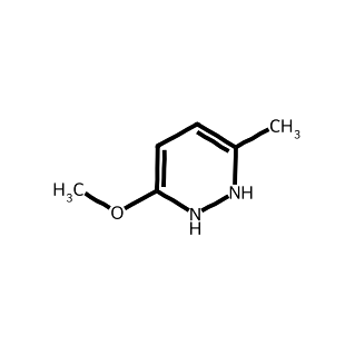 COC1=CC=C(C)NN1